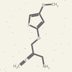 C=C=C(CN)COc1cc(OC)cs1